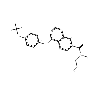 CN(CCO)C(=O)c1ccc2c(Nc3ccc(OC(F)(F)F)cc3)ncnc2c1